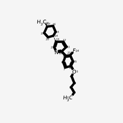 CCCCCOc1ccc(-c2ccc([C@H]3CC[C@H](C)CC3)cn2)c(F)c1